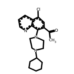 CC(=O)c1cc(Cl)c2cccnc2c1N1CCN(C2CCCCC2)CC1